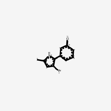 Cc1cc(C(C)C)c(-c2cccc(Cl)c2)[nH]1